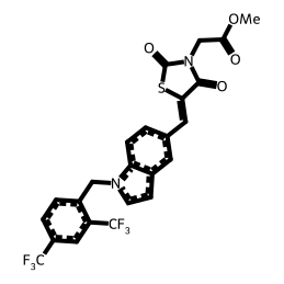 COC(=O)CN1C(=O)S/C(=C\c2ccc3c(ccn3Cc3ccc(C(F)(F)F)cc3C(F)(F)F)c2)C1=O